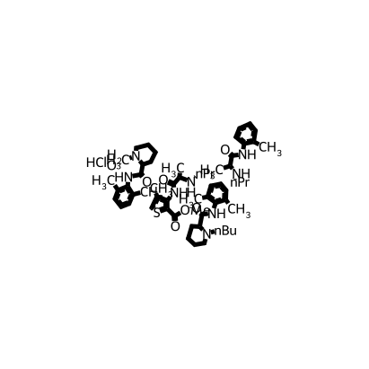 CCCCN1CCCCC1C(=O)Nc1c(C)cccc1C.CCCNC(C)C(=O)Nc1c(C)csc1C(=O)OC.CCCNC(C)C(=O)Nc1ccccc1C.Cc1cccc(C)c1NC(=O)C1CCCCN1C.Cl.O